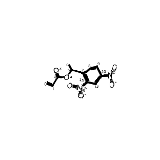 C=CC(=O)OC(C)c1ccc([N+](=O)[O-])cc1[N+](=O)[O-]